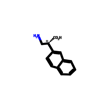 NC[C@H](C(=O)O)c1ccc2ccccc2c1